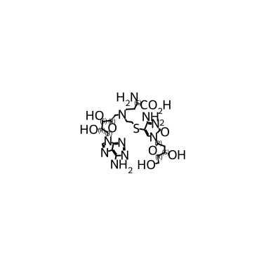 Nc1nc(=O)n([C@H]2C[C@H](O)[C@@H](CO)O2)cc1SCCN(CC[C@H](N)C(=O)O)C[C@H]1O[C@@H](n2cnc3c(N)ncnc32)[C@H](O)[C@@H]1O